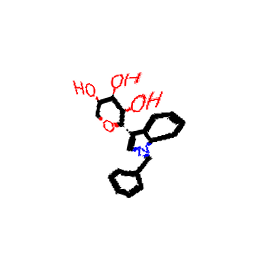 O[C@@H]1[C@@H](O)[C@H](c2cn(Cc3ccccc3)c3ccccc23)OC[C@H]1O